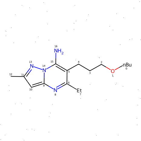 CCCCOCCCc1c(CC)nc2cc(C)nn2c1N